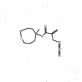 C=C(CN=[N+]=[N-])C(=O)OC1(C)CCCCCCC1